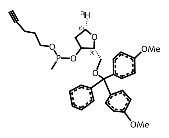 [3H][C@H]1CC(OP(C)OCCCC#C)[C@@H](COC(c2ccccc2)(c2ccc(OC)cc2)c2ccc(OC)cc2)O1